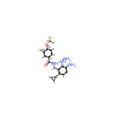 NNc1c(N)ccc(C2CC2)c1CNC(=O)c1ccc(OC(F)F)c(F)c1